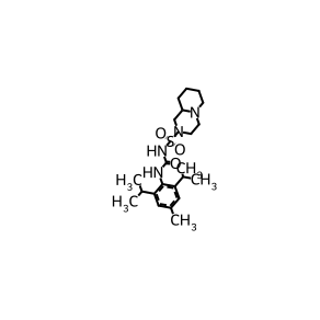 Cc1cc(C(C)C)c(NC(=O)NS(=O)(=O)N2CCN3CCCCC3C2)c(C(C)C)c1